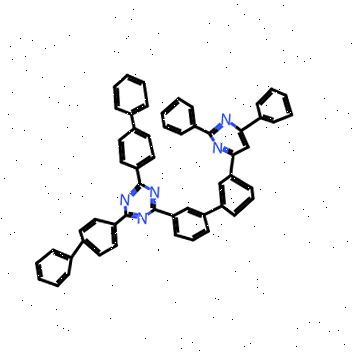 c1ccc(-c2ccc(-c3nc(-c4ccc(-c5ccccc5)cc4)nc(-c4cccc(-c5cccc(-c6cc(-c7ccccc7)nc(-c7ccccc7)n6)c5)c4)n3)cc2)cc1